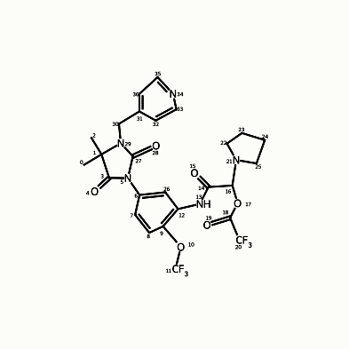 CC1(C)C(=O)N(c2ccc(OC(F)(F)F)c(NC(=O)C(OC(=O)C(F)(F)F)N3CCCC3)c2)C(=O)N1Cc1ccncc1